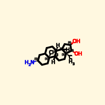 C[C@]12CC[C@H]3[C@@H](CCC4C[C@@H](N)CC[C@@]43C)[C@@H]1C[C@@H](O)[C@@H]2O